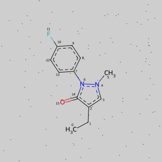 CCc1cn(C)n(-c2ccc(F)cc2)c1=O